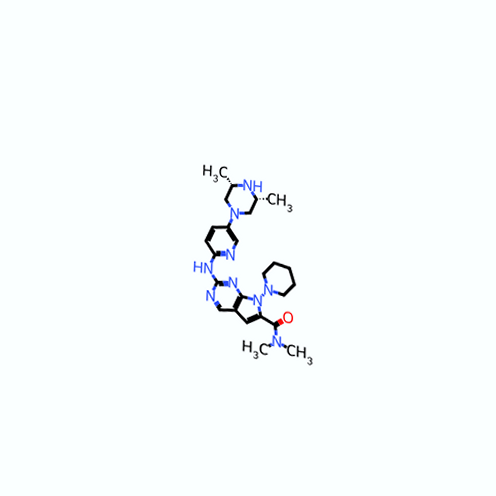 C[C@@H]1CN(c2ccc(Nc3ncc4cc(C(=O)N(C)C)n(N5CCCCC5)c4n3)nc2)C[C@H](C)N1